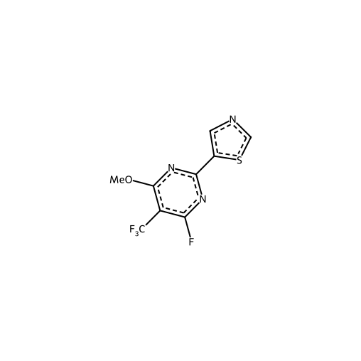 COc1nc(-c2cncs2)nc(F)c1C(F)(F)F